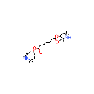 CC1(C)CCC(OC(=O)CCCCCC(=O)OC2CC(C)(C)NC2(C)C)CC(C)(C)N1